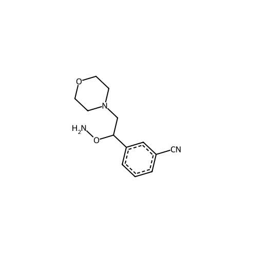 N#Cc1cccc(C(CN2CCOCC2)ON)c1